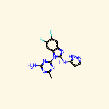 Cc1nc(N)nc(-n2c(Nc3ccn[nH]3)nc3cc(F)c(F)cc32)n1